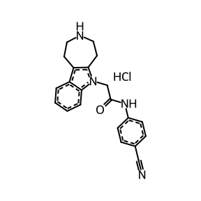 Cl.N#Cc1ccc(NC(=O)Cn2c3c(c4ccccc42)CCNCC3)cc1